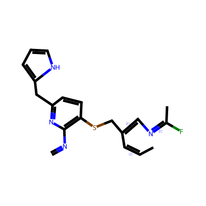 C=Nc1nc(Cc2ccc[nH]2)ccc1SCC(/C=C\C)=C/N=C(\C)F